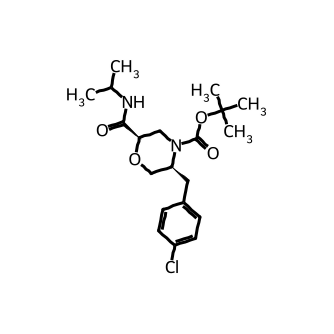 CC(C)NC(=O)[C@H]1CN(C(=O)OC(C)(C)C)[C@@H](Cc2ccc(Cl)cc2)CO1